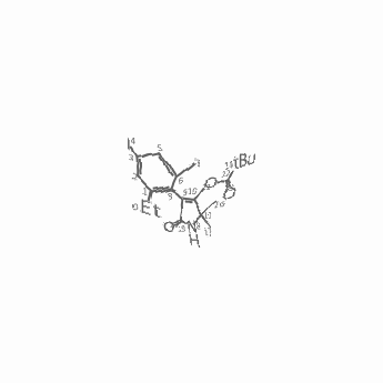 CCc1cc(I)cc(C)c1C1=C(OC(=O)C(C)(C)C)C(C)(C)NC1=O